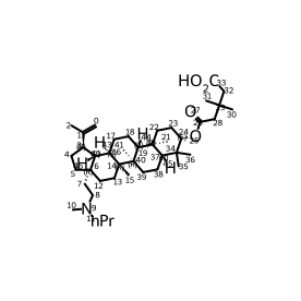 C=C(C)[C@@H]1CC[C@]2(CCN(C)CCC)CC[C@]3(C)[C@H](CC[C@@H]4[C@@]5(C)CC[C@H](OC(=O)CC(C)(C)CC(=O)O)C(C)(C)[C@@H]5CC[C@]43C)[C@@H]12